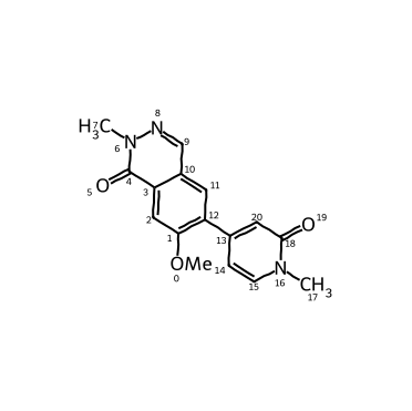 COc1cc2c(=O)n(C)ncc2cc1-c1ccn(C)c(=O)c1